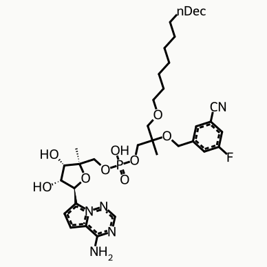 CCCCCCCCCCCCCCCCCOCC(C)(COP(=O)(O)OC[C@@]1(C)O[C@@H](c2ccc3c(N)ncnn23)[C@H](O)[C@@H]1O)OCc1cc(F)cc(C#N)c1